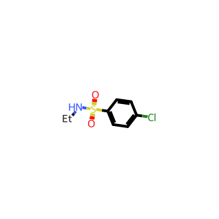 [CH2]CNS(=O)(=O)c1ccc(Cl)cc1